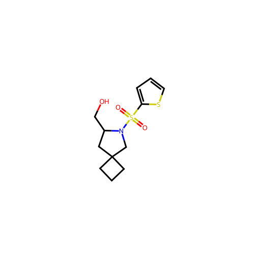 O=S(=O)(c1cccs1)N1CC2(CCC2)CC1CO